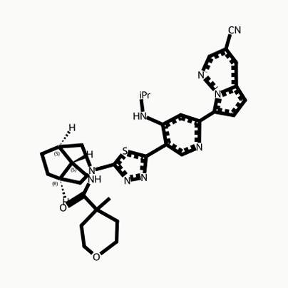 CC(C)Nc1cc(-c2ccc3cc(C#N)cnn23)ncc1-c1nnc(N2C[C@H]3CC[C@@H](C2)[C@@H]3NC(=O)C2(C)CCOCC2)s1